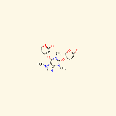 Cn1c(=O)c2c(ncn2C)n(C)c1=O.O=c1cccco1.O=c1cccco1